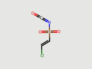 O=C=NS(=O)(=O)/C=C/Cl